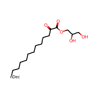 CCCCCCCCCCCCCCCCCCCCC(=O)C(=O)OCC(O)CO